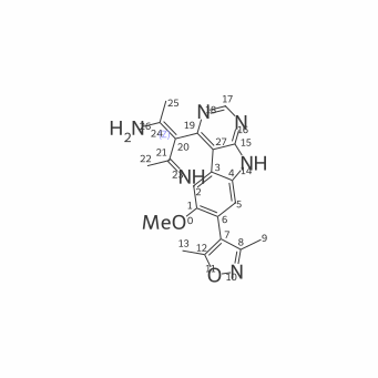 COc1cc2c(cc1-c1c(C)noc1C)[nH]c1ncnc(/C(C(C)=N)=C(\C)N)c12